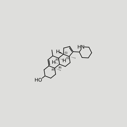 CC1C=C2CC(O)CC[C@]2(C)[C@@H]2CC[C@]3(C)C(C4CCCCN4)=CC[C@H]3[C@H]12